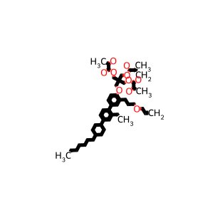 C=CCOCCCc1cc(-c2ccc(C3CCC(CCCCCCC)CC3)cc2CC)ccc1OCC(COC(=O)C(=C)C)(COC(=O)C(C)=O)COC(=O)C(C)=O